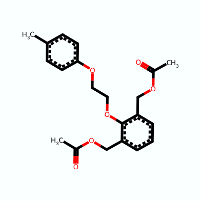 CC(=O)OCc1cccc(COC(C)=O)c1OCCOc1ccc(C)cc1